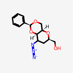 [N-]=[N+]=NC1C[C@H](CO)O[C@@H]2CO[C@H](c3ccccc3)O[C@H]12